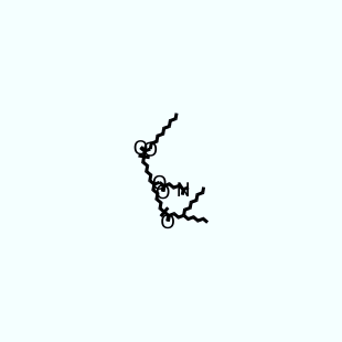 CCCCCCCCCOC(=O)C(C)(C)CCCCCC(CCCCCC(C)(C)C(=O)CCC(CCCCC)CCCCCCC)OC(=O)CCCN(C)C